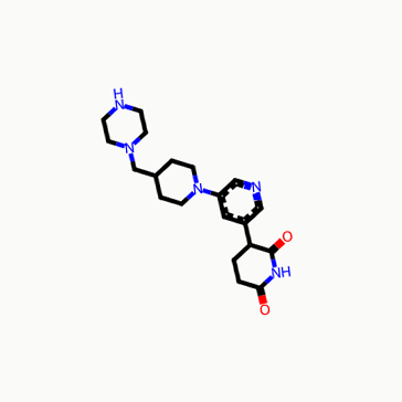 O=C1CCC(c2cncc(N3CCC(CN4CCNCC4)CC3)c2)C(=O)N1